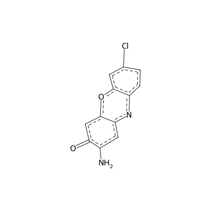 Nc1cc2nc3ccc(Cl)cc3oc-2cc1=O